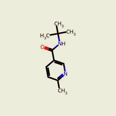 Cc1ccc(C(=O)NC(C)(C)C)cn1